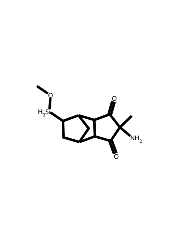 CO[SiH2]C1CC2CC1C1C(=O)C(C)(N)C(=O)C21